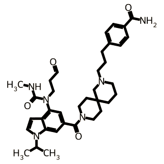 CNC(=O)N(CCC=O)c1cc(C(=O)N2CCC3(CCCN(CCCc4ccc(C(N)=O)cc4)C3)CC2)cc2c1ccn2C(C)C